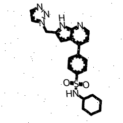 O=S(=O)(NC1CCCCC1)c1ccc(-c2ccnc3[nH]c(Cn4ccnn4)cc23)cc1